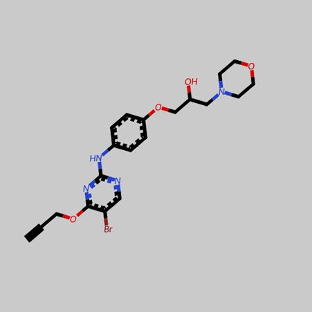 C#CCOc1nc(Nc2ccc(OCC(O)CN3CCOCC3)cc2)ncc1Br